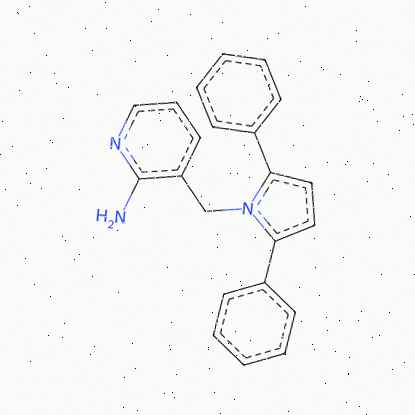 Nc1ncccc1Cn1c(-c2ccccc2)ccc1-c1ccccc1